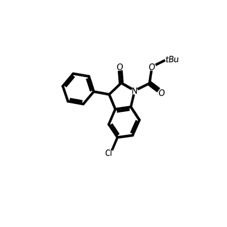 CC(C)(C)OC(=O)N1C(=O)C(c2ccccc2)c2cc(Cl)ccc21